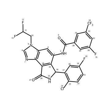 O=C(Nc1cc2c(ncn2CC(F)F)c2c1C(c1cc(F)ccc1Cl)NC2=O)c1cc(F)cc(C(F)(F)F)c1